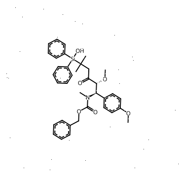 COc1ccc([C@H]([C@@H](OC)C(=O)CC(C)(C)[Si](O)(c2ccccc2)c2ccccc2)N(C)C(=O)OCc2ccccc2)cc1